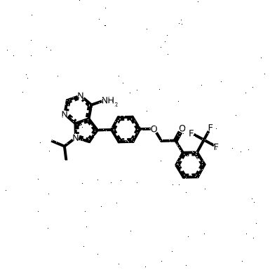 CC(C)n1cc(-c2ccc(OCC(=O)c3ccccc3C(F)(F)F)cc2)c2c(N)ncnc21